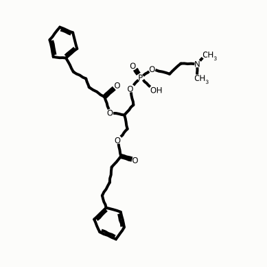 CN(C)CCOP(=O)(O)OCC(COC(=O)CCCc1ccccc1)OC(=O)CCCc1ccccc1